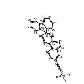 C[Si](C)(C)C#Cc1ccc2c3c(ccc2c1)OC(c1ccccc1)(c1ccccc1)C=C3